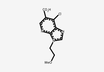 COCCn1cnc2c(Cl)c(C(=O)O)cnc21